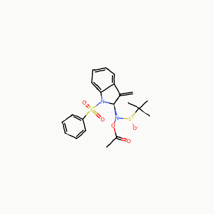 C=C1c2ccccc2N(S(=O)(=O)c2ccccc2)[C@@H]1N(OC(C)=O)[S@@+]([O-])C(C)(C)C